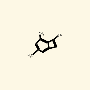 Cc1cc(C)c2c(c1)C=C2C#N